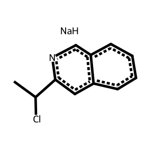 CC(Cl)c1cc2ccccc2cn1.[NaH]